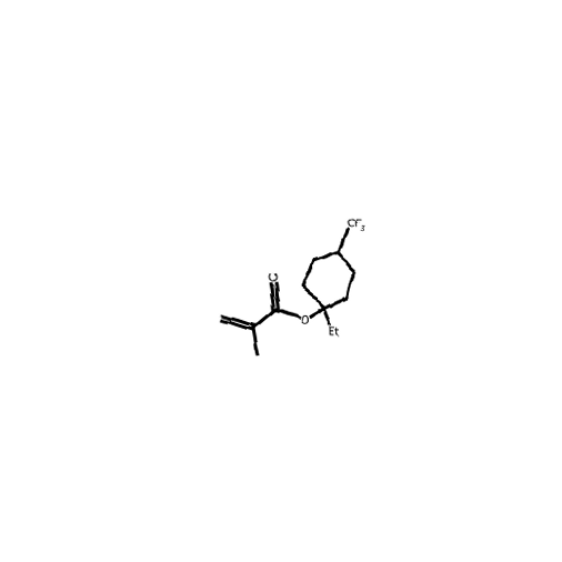 C=C(C)C(=O)OC1(CC)CCC(C(F)(F)F)CC1